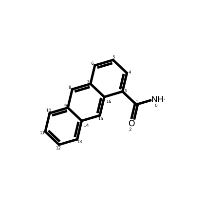 [NH]C(=O)c1cccc2cc3ccccc3cc12